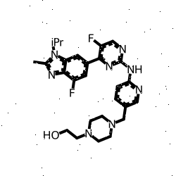 Cc1nc2c(F)cc(-c3nc(Nc4ccc(CN5CCN(CCO)CC5)cn4)ncc3F)cc2n1C(C)C